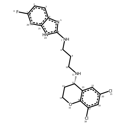 Fc1ccc2nc(NCCCN[C@H]3CCOc4c(Cl)cc(Cl)cc43)[nH]c2n1